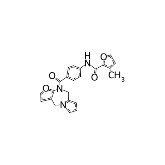 Cc1ccoc1C(=O)Nc1ccc(C(=O)N2Cc3cccn3Cc3ccoc32)cc1